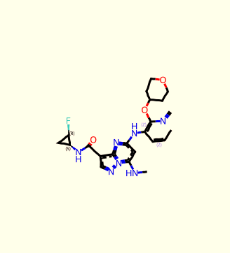 C=N/C(OC1CCOCC1)=C(\C=C/C)Nc1cc(NC)n2ncc(C(=O)N[C@H]3C[C@H]3F)c2n1